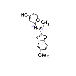 C/C=C(\N=c1\cc(C#N)cco1)c1cc2cc(OC)ccc2o1